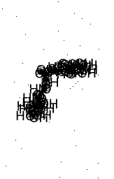 CC(=O)NC1C(OCCCNC(=O)COc2ccc(-c3cc(OCC(=O)NCCCOC4OC(CO)C(OC5OC(CO)C(O)C(OC6OC(CO)C(O)C(O)C6O)C5O)C(O)C4NC(C)=O)cc(C(=O)O)c3)cc2)OC(CO)C(OC2OC(CO)C(O)C(OC3OC(CO)C(O)C(O)C3O)C2O)C1O